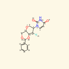 O=c1ccn(C2COC3COC(c4ccccc4)OC3C2F)c(=O)[nH]1